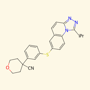 CC(C)c1nnc2ccc3cc(Sc4cccc(C5(C#N)CCOCC5)c4)ccc3n12